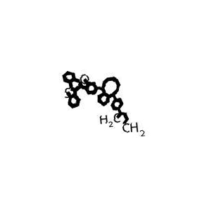 C=C/C=C\C(=C)c1ccc(-c2ccccccc(-c3ccc4c(c3)oc3c5ccccc5c5sc6ccccc6c5c43)c3ccccc23)cc1